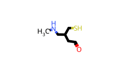 CNCC(CS)CC=O